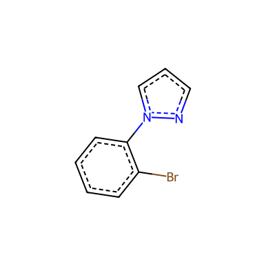 Brc1ccccc1-n1cccn1